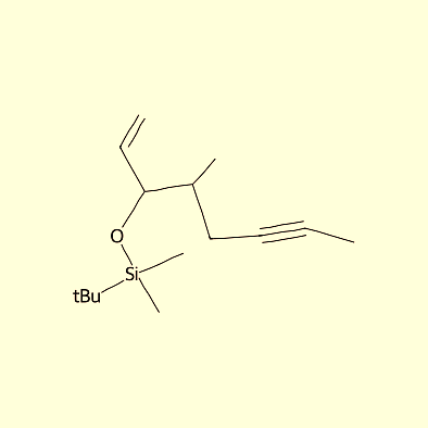 C=CC(O[Si](C)(C)C(C)(C)C)C(C)CC#CC